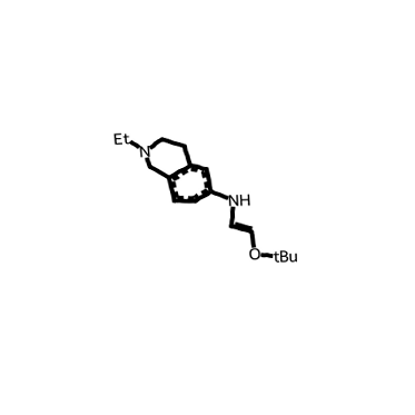 CCN1CCc2cc(NC=COC(C)(C)C)ccc2C1